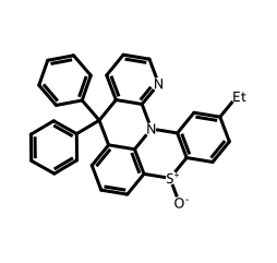 CCc1ccc2c(c1)N1c3ncccc3C(c3ccccc3)(c3ccccc3)c3cccc(c31)[S+]2[O-]